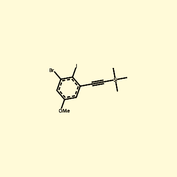 COc1cc(Br)c(I)c(C#C[Si](C)(C)C)c1